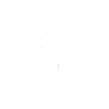 c1ccc(-c2cccc3cccc(-c4ccc(-c5nc(-c6ccc7c(c6)sc6ccccc67)nc(-c6cccc7ccc8ccccc8c67)n5)cc4)c23)cc1